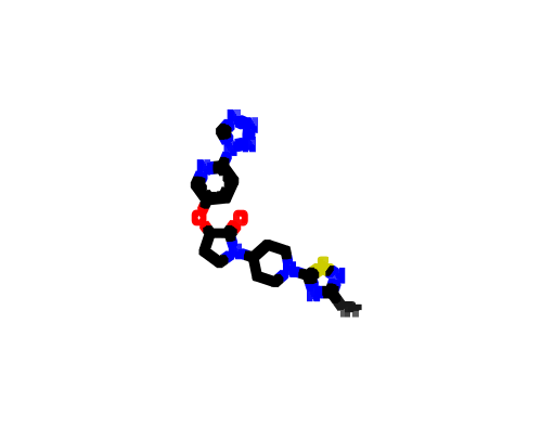 CC(C)c1nsc(N2CCC(N3CCC(Oc4ccc(-n5cnnn5)nc4)C3=O)CC2)n1